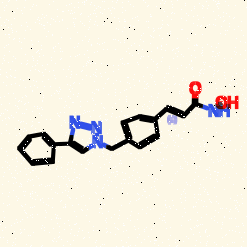 O=C(/C=C/c1ccc(Cn2cc(-c3ccccc3)nn2)cc1)NO